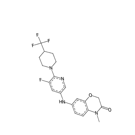 CN1C(=O)COc2cc(Nc3cnc(N4CCC(C(F)(F)F)CC4)c(F)c3)ccc21